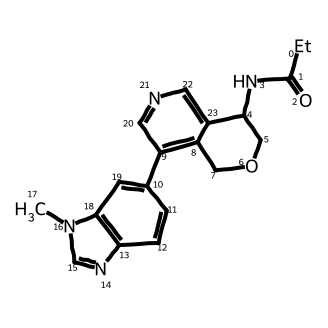 CCC(=O)NC1COCc2c(-c3ccc4ncn(C)c4c3)cncc21